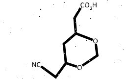 N#CCC1CC(CC(=O)O)OCO1